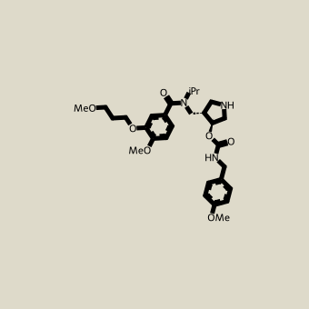 COCCCOc1cc(C(=O)N(C[C@@H]2CNC[C@H]2OC(=O)NCc2ccc(OC)cc2)C(C)C)ccc1OC